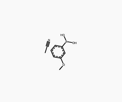 CC#N.COc1cccc(B(O)O)c1